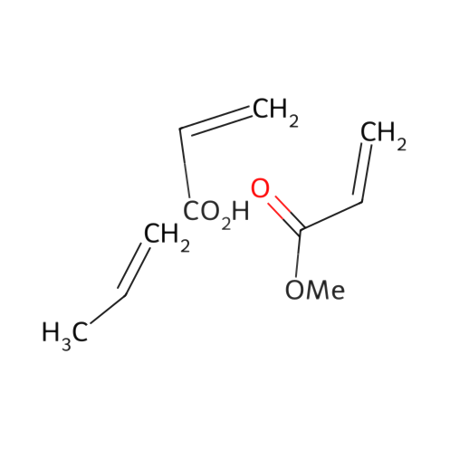 C=CC.C=CC(=O)O.C=CC(=O)OC